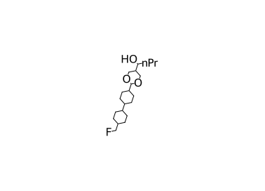 CCCC(O)C1COC(C2CCC(C3CCC(CF)CC3)CC2)OC1